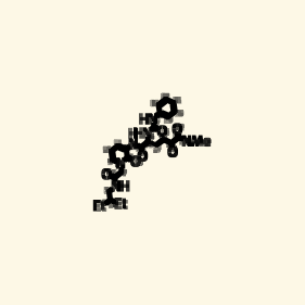 CCC(CC)CNC(=O)Cn1cccc(NC(=O)[C@H](CCC(=O)C(=O)NC)NC(=O)Nc2ccccc2)c1=O